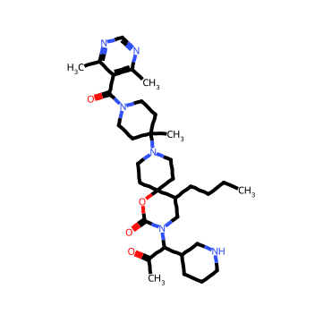 CCCCC1CN(C(C(C)=O)C2CCCNC2)C(=O)OC12CCN(C1(C)CCN(C(=O)c3c(C)ncnc3C)CC1)CC2